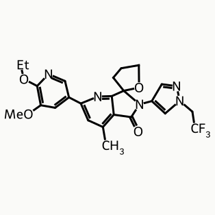 CCOc1ncc(-c2cc(C)c3c(n2)C2(CCCO2)N(c2cnn(CC(F)(F)F)c2)C3=O)cc1OC